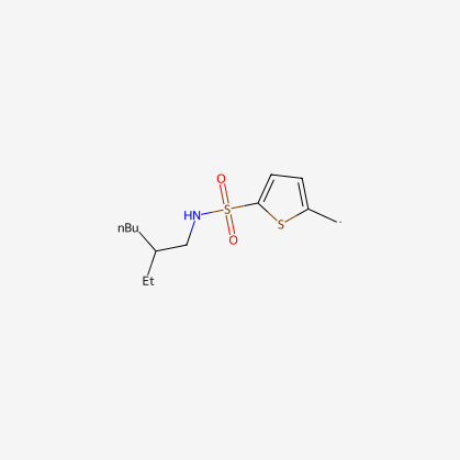 [CH2]c1ccc(S(=O)(=O)NCC(CC)CCCC)s1